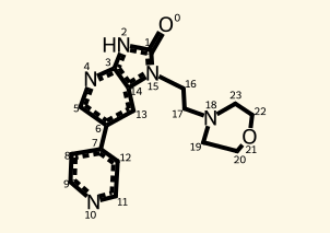 O=c1[nH]c2ncc(-c3ccncc3)cc2n1CCN1CCOCC1